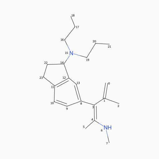 C=C(C)/C(=C(/C)NC)c1ccc2c(c1)C(N(CCC)CCC)CC2